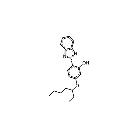 CCCCC(CC)Oc1ccc(-n2nc3ccccc3n2)c(O)c1